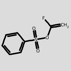 C=C(F)OS(=O)(=O)c1ccccc1